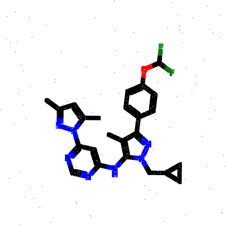 Cc1cc(C)n(-c2cc(Nc3c(C)c(-c4ccc(OC(F)F)cc4)nn3CC3CC3)ncn2)n1